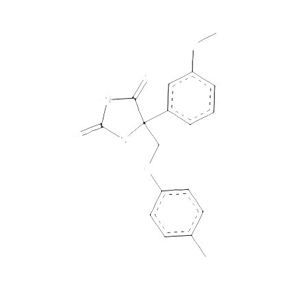 COc1cccc(C2(COc3ccc(C)cc3)NC(=O)NC2=O)c1